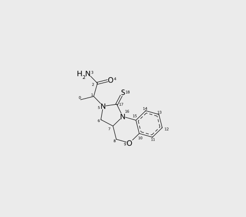 CC(C(N)=O)N1CC2COc3ccccc3N2C1=S